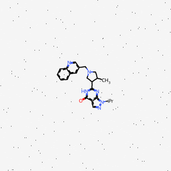 CC1CN(Cc2cnc3ccccc3c2)CC1c1nc2c(cnn2C(C)C)c(=O)[nH]1